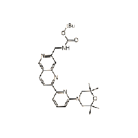 CC(C)(C)OC(=O)NCc1cc2nc(-c3cccc(N4CC(C)(C)OC(C)(C)C4)n3)ccc2cn1